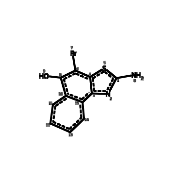 Nc1nc2c(s1)c(Br)c(O)c1ccccc12